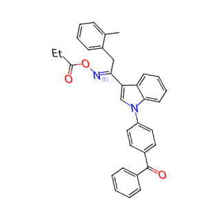 CCC(=O)O/N=C(\Cc1ccccc1C)c1cn(-c2ccc(C(=O)c3ccccc3)cc2)c2ccccc12